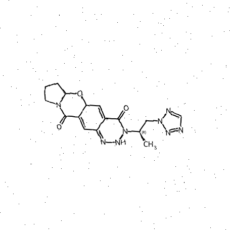 C[C@H](Cn1ncnn1)N1NN=C2C=C3C(=O)N4CCCC4OC3C=C2C1=O